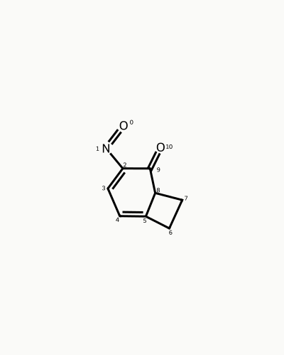 O=NC1=CC=C2CCC2C1=O